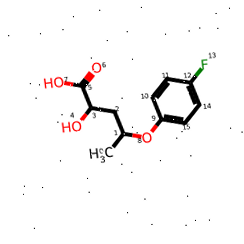 CC(CC(O)C(=O)O)Oc1ccc(F)cc1